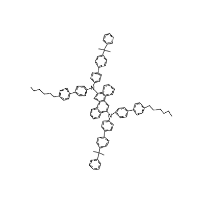 CCCCCCc1ccc(-c2ccc(N(c3ccc(-c4ccc(C(C)(C)c5ccccc5)cc4)cc3)c3cc4c5ccccc5c(N(c5ccc(-c6ccc(CCCCCC)cc6)cc5)c5ccc(-c6ccc(C(C)(C)c7ccccc7)cc6)cc5)cc4c4ccccc34)cc2)cc1